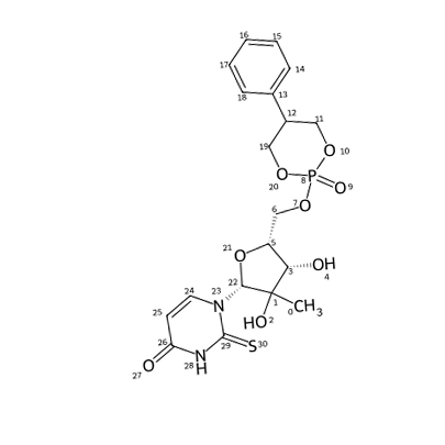 CC1(O)[C@@H](O)[C@@H](COP2(=O)OCC(c3ccccc3)CO2)O[C@H]1n1ccc(=O)[nH]c1=S